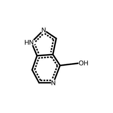 Oc1nccc2[nH]ncc12